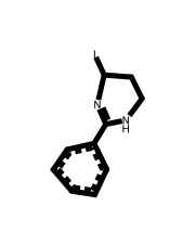 IC1CCNC(c2ccccc2)=N1